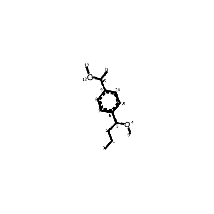 CCCC(OC)c1ccc(C(C)OC)cc1